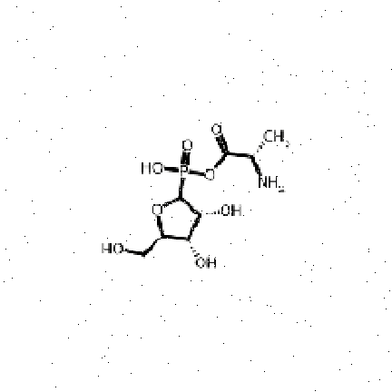 C[C@H](N)C(=O)OP(=O)(O)[C]1O[C@H](CO)[C@@H](O)[C@H]1O